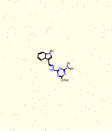 COc1nc(N/N=C/C2=CN(C(C)=O)C3C=CC=CC23)nc(N(C(C)C)C(C)C)n1